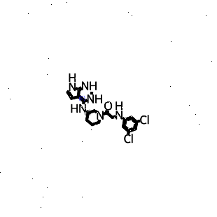 CN/C(N[C@H]1CCCN(C(=O)CNc2cc(Cl)cc(Cl)c2)C1)=C1/C=CNC1=N